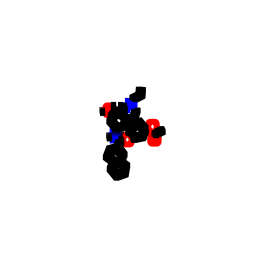 C=CCN1CC[C@@]2(c3cccc(OC(C)=O)c3)C[C@H](N(C)C(=O)c3ccc4ccccc4c3)CC(OC)[C@@H]2C1